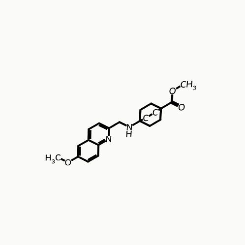 COC(=O)C12CCC(NCc3ccc4cc(OC)ccc4n3)(CC1)CC2